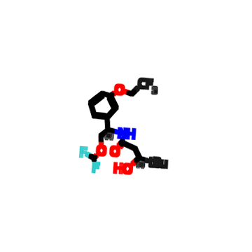 CC(C)(C)[C@@H](O)CC(=O)N[C@@H](COC(F)F)c1cccc(OCC(F)(F)F)c1